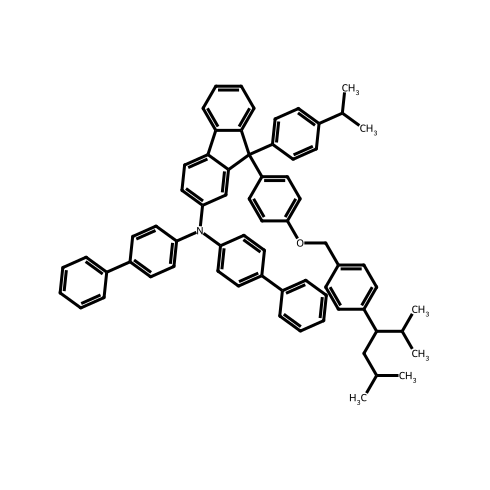 CC(C)CC(c1ccc(COc2ccc(C3(c4ccc(C(C)C)cc4)c4ccccc4-c4ccc(N(c5ccc(-c6ccccc6)cc5)c5ccc(-c6ccccc6)cc5)cc43)cc2)cc1)C(C)C